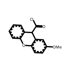 COc1ccc2c(c1)C(C(=O)Cl)c1ccccc1O2